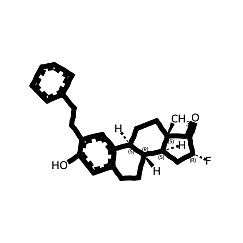 C[C@]12CC[C@@H]3c4cc(CCc5ccccc5)c(O)cc4CC[C@H]3[C@@H]1C[C@@H](F)C2=O